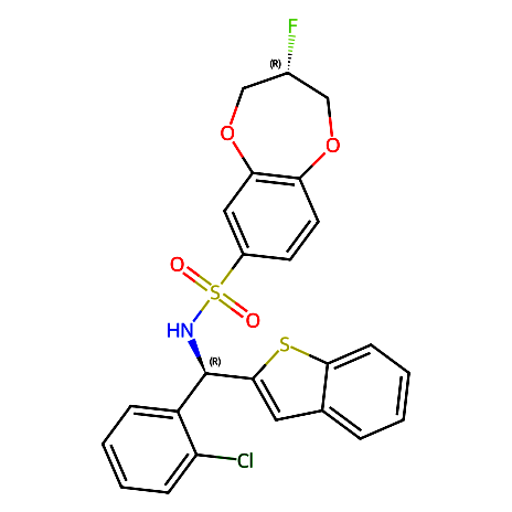 O=S(=O)(N[C@@H](c1cc2ccccc2s1)c1ccccc1Cl)c1ccc2c(c1)OC[C@H](F)CO2